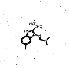 Cc1ccc2[nH]c(C=O)c(N=CN(C)C)c2c1.Cl